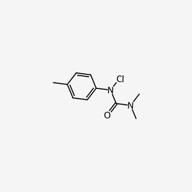 Cc1ccc(N(Cl)C(=O)N(C)C)cc1